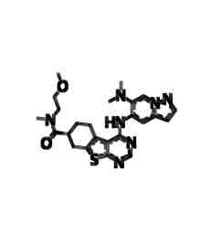 COCCN(C)C(=O)[C@H]1CCc2c(sc3ncnc(Nc4cc5ccnn5cc4N(C)C)c23)C1